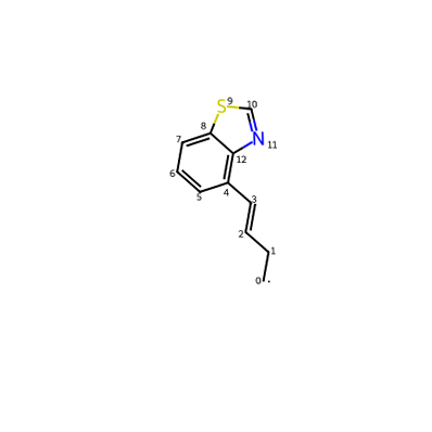 [CH2]CC=Cc1cccc2scnc12